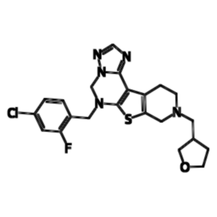 Fc1cc(Cl)ccc1CN1Cn2ncnc2-c2c1sc1c2CCN(CC2CCOC2)C1